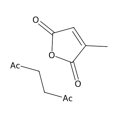 CC(=O)CCC(C)=O.CC1=CC(=O)OC1=O